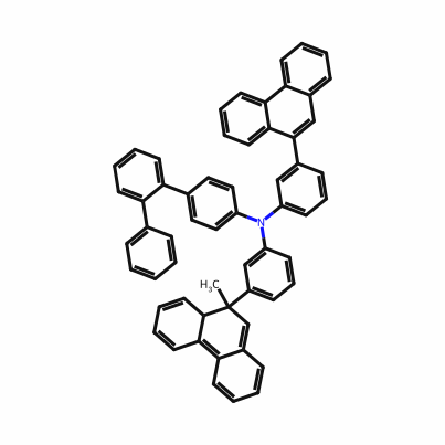 CC1(c2cccc(N(c3ccc(-c4ccccc4-c4ccccc4)cc3)c3cccc(-c4cc5ccccc5c5ccccc45)c3)c2)C=c2ccccc2=C2C=CC=CC21